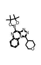 CC1(C)OB(c2nc3ccccc3n3c(C4CCOCC4)nnc23)OC1(C)C